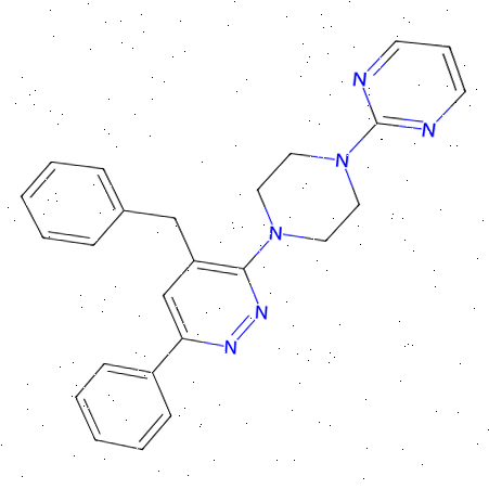 c1ccc(Cc2cc(-c3ccccc3)nnc2N2CCN(c3ncccn3)CC2)cc1